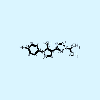 CC(C)n1nnc(-c2cnn(-c3ccc(F)cc3)c2S)n1